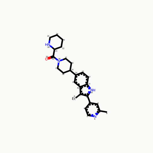 CCc1c(-c2ccnc(C)c2)[nH]c2ccc(C3CCN(C(=O)C4CCCCN4)CC3)cc12